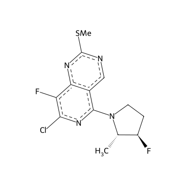 CSc1ncc2c(N3CC[C@@H](F)[C@@H]3C)nc(Cl)c(F)c2n1